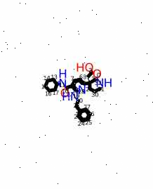 O=C(O)C[C@@]1(c2ccc(C(=O)NC3CCCCC3)c(NCCc3ccccc3)n2)CCCNC1